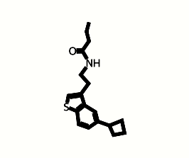 CCCC(=O)NCCc1csc2ccc(C3CCC3)cc12